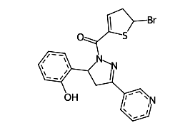 O=C(C1=CCC(Br)S1)N1N=C(c2cccnc2)CC1c1ccccc1O